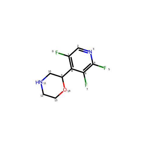 Fc1cnc(F)c(F)c1C1CNCCO1